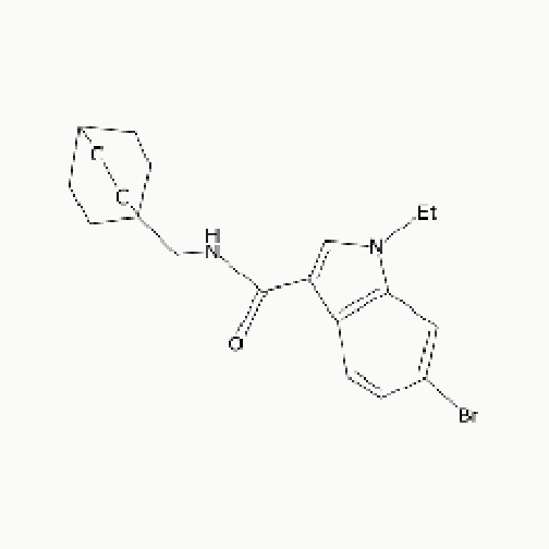 CCn1cc(C(=O)NCC23CCC(CC2)CC3)c2ccc(Br)cc21